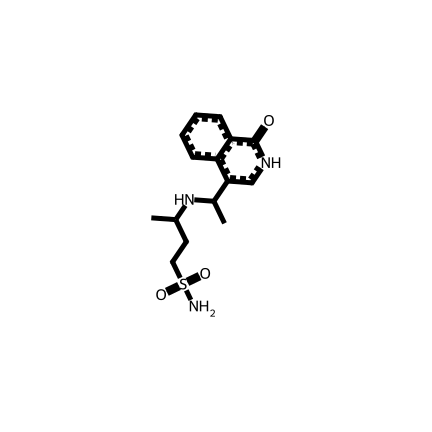 CC(CCS(N)(=O)=O)NC(C)c1c[nH]c(=O)c2ccccc12